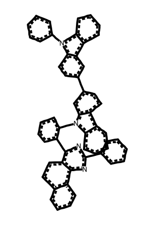 c1ccc(-c2nc(-c3ccccc3-n3c4ccccc4c4ccc(-c5ccc6c(c5)c5ccccc5n6-c5ccccc5)cc43)c3ccc4ccccc4c3n2)cc1